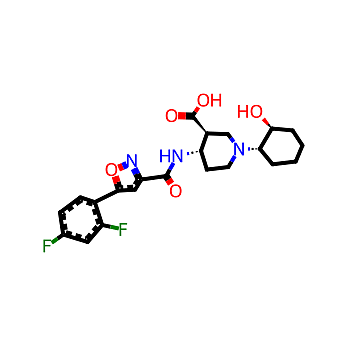 O=C(N[C@H]1CCN([C@H]2CCCC[C@@H]2O)C[C@@H]1C(=O)O)c1cc(-c2ccc(F)cc2F)on1